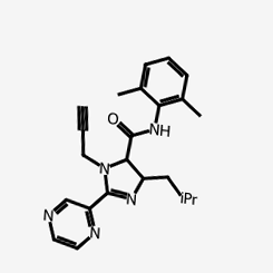 C#CCN1C(c2cnccn2)=NC(CC(C)C)C1C(=O)Nc1c(C)cccc1C